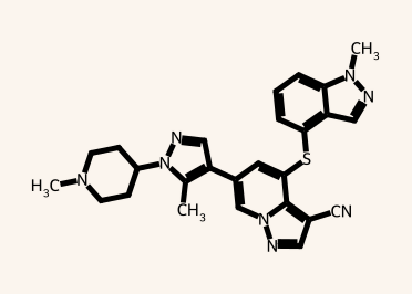 Cc1c(-c2cc(Sc3cccc4c3cnn4C)c3c(C#N)cnn3c2)cnn1C1CCN(C)CC1